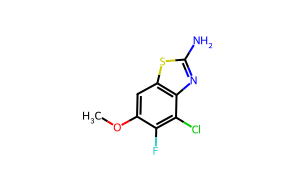 COc1cc2sc(N)nc2c(Cl)c1F